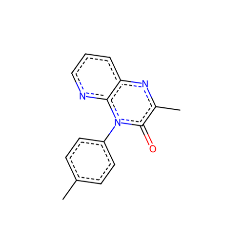 Cc1ccc(-n2c(=O)c(C)nc3cccnc32)cc1